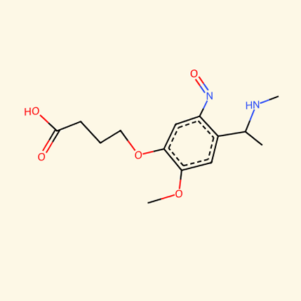 CNC(C)c1cc(OC)c(OCCCC(=O)O)cc1N=O